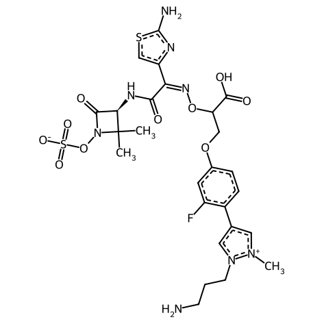 C[n+]1cc(-c2ccc(OCC(O/N=C(\C(=O)N[C@@H]3C(=O)N(OS(=O)(=O)[O-])C3(C)C)c3csc(N)n3)C(=O)O)cc2F)cn1CCCN